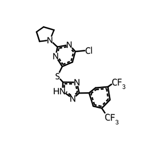 FC(F)(F)c1cc(-c2n[nH]c(Sc3cc(Cl)nc(N4CCCC4)n3)n2)cc(C(F)(F)F)c1